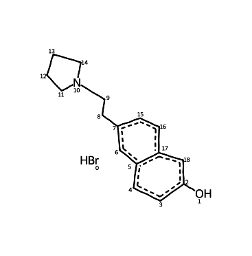 Br.Oc1ccc2cc(CCN3CCCC3)ccc2c1